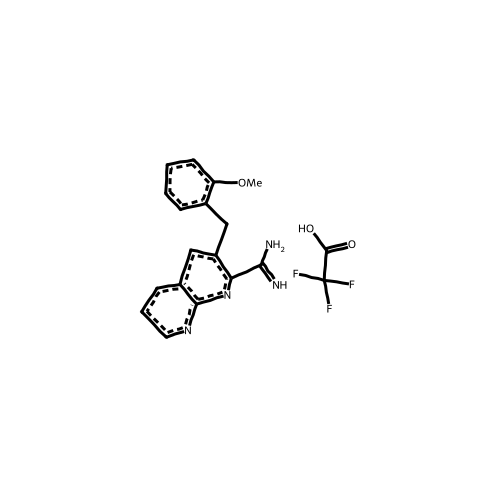 COc1ccccc1Cc1cc2cccnc2nc1C(=N)N.O=C(O)C(F)(F)F